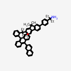 CCC(N)(CC)c1ccc(-c2ccc3c(c2)C(C)(C)c2cc(C(C)(CC)c4ccccc4-c4c5ccccc5c(-c5ccc6ccccc6c5)c5ccccc45)ccc2-3)cc1